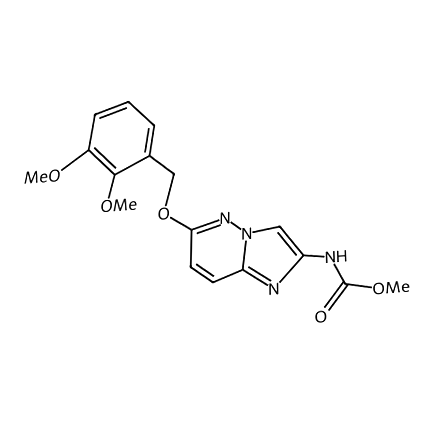 COC(=O)Nc1cn2nc(OCc3cccc(OC)c3OC)ccc2n1